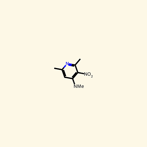 CNc1cc(C)nc(C)c1[N+](=O)[O-]